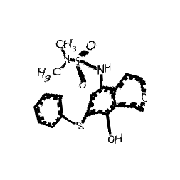 CN(C)S(=O)(=O)Nc1cc(Sc2ccccc2)c(O)c2ccccc12